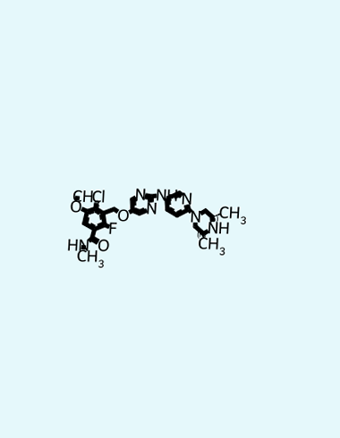 CNC(=O)c1cc(OC)c(Cl)c(COc2cnc(Nc3ccc(N4C[C@@H](C)N[C@@H](C)C4)nc3)nc2)c1F